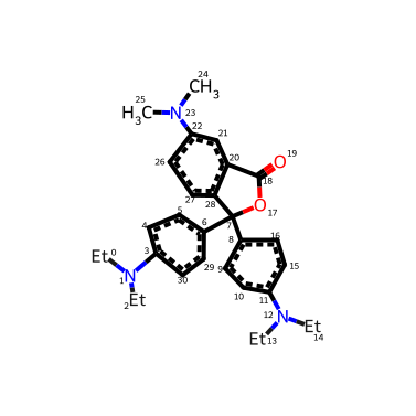 CCN(CC)c1ccc(C2(c3ccc(N(CC)CC)cc3)OC(=O)c3cc(N(C)C)ccc32)cc1